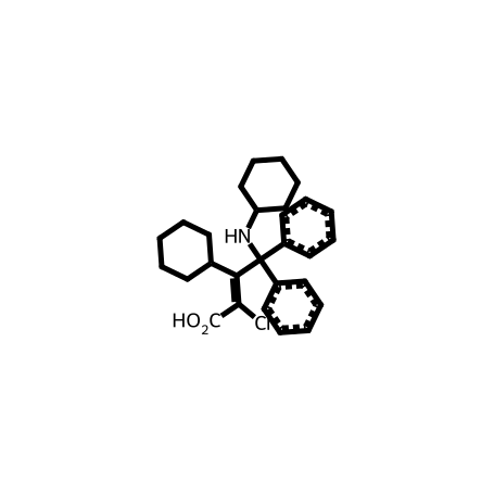 O=C(O)/C(Cl)=C(\C1CCCCC1)C(NC1CCCCC1)(c1ccccc1)c1ccccc1